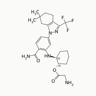 CC1(C)CCc2c(C(F)(F)F)nn(-c3ccc(C(N)=O)c(N[C@H]4CCCC[C@@H]4OC(=O)CN)c3)c2C1